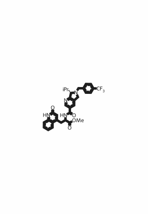 COC(=O)C(Cc1cc(=O)[nH]c2ccccc12)NC(=O)c1cnc2c(c1)CN(Cc1ccc(C(F)(F)F)cc1)[C@H]2C(C)C